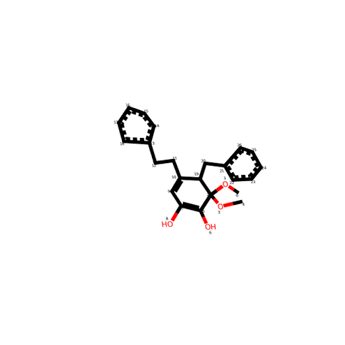 COC1(OC)C(O)=C(O)C=C(CCc2ccccc2)C1Cc1ccccc1